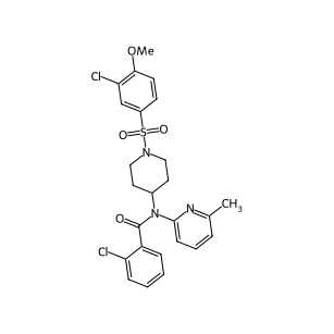 COc1ccc(S(=O)(=O)N2CCC(N(C(=O)c3ccccc3Cl)c3cccc(C)n3)CC2)cc1Cl